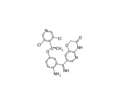 C[C@@H](Oc1ccc(N)c(C(=N)c2cnc3c(c2)OCC(=O)N3)c1)c1c(Cl)cncc1Cl